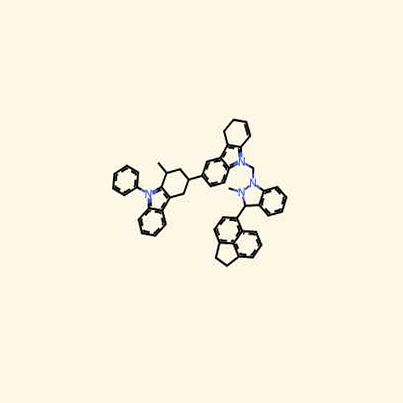 CC1CC(c2ccc3c(c2)c2c(n3CN3c4ccccc4C(c4ccc5c6c(cccc46)CC5)N3C)C=CCC2)Cc2c1n(-c1ccccc1)c1ccccc21